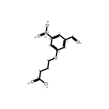 O=Cc1cc(OCCCC(=O)Cl)cc([N+](=O)[O-])c1